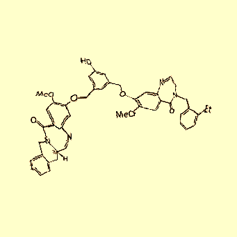 CCc1ccccc1CN1CC=Nc2cc(OCc3cc(O)cc(COc4cc5c(cc4OC)C(=O)N4Cc6ccccc6C[C@H]4C=N5)c3)c(OC)cc2C1=O